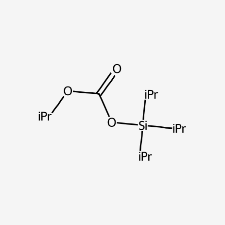 CC(C)OC(=O)O[Si](C(C)C)(C(C)C)C(C)C